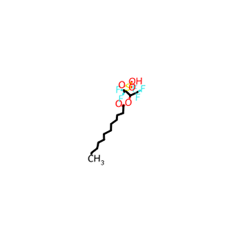 CCCCCCCCCCCC(=O)OC(C(F)(F)F)C(F)(F)S(=O)(=O)O